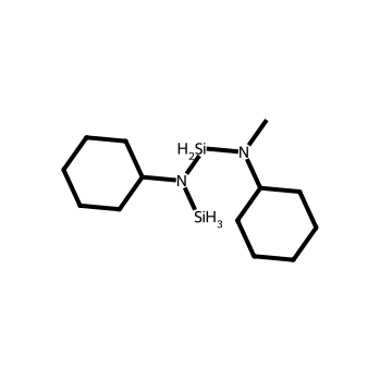 CN([SiH2]N([SiH3])C1CCCCC1)C1CCCCC1